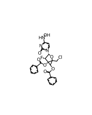 O=C(OC1C2(CCl)O[C@@H](n3ccc(NO)nc3=O)[C@H](F)[C@@]12OC(=O)c1ccccc1)c1ccccc1